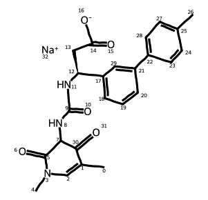 CC1=CN(C)C(=O)C(NC(=O)N[C@@H](CC(=O)[O-])c2cccc(-c3ccc(C)cc3)c2)C1=O.[Na+]